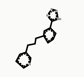 [CH](Cc1cccnc1)Cc1cccc(-c2nnn[nH]2)c1